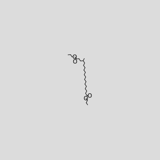 CCCOC(=O)CCCCCCCCCCCCCCC(C)CCC(=O)OCCC